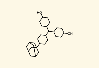 OC1CCC(C(C2CCC(O)CC2)C2CCC(C34CC5CC(CC(C5)C3)C4)CC2)CC1